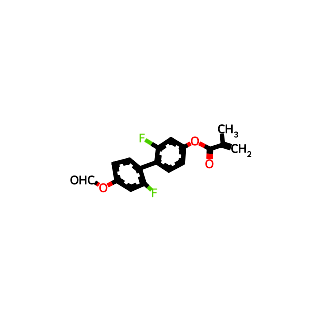 C=C(C)C(=O)Oc1ccc(-c2ccc(OC=O)cc2F)c(F)c1